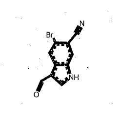 N#Cc1cc2[nH]cc(C=O)c2cc1Br